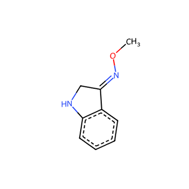 CO/N=C1\CNc2ccccc21